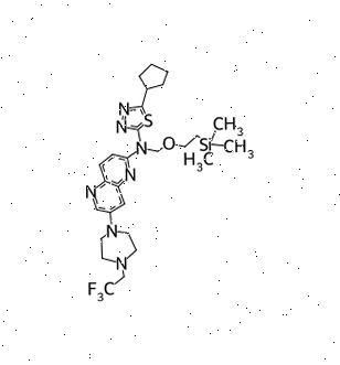 C[Si](C)(C)CCOCN(c1ccc2ncc(N3CCN(CC(F)(F)F)CC3)cc2n1)c1nnc(C2CCCC2)s1